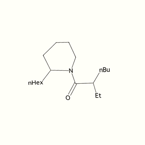 CCCCCCC1CCCCN1C(=O)C(CC)CCCC